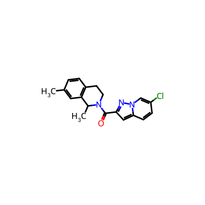 Cc1ccc2c(c1)C(C)N(C(=O)c1cc3ccc(Cl)cn3n1)CC2